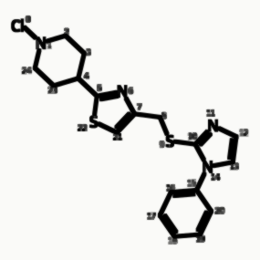 ClN1CCC(c2nc(CSc3nccn3-c3ccccc3)cs2)CC1